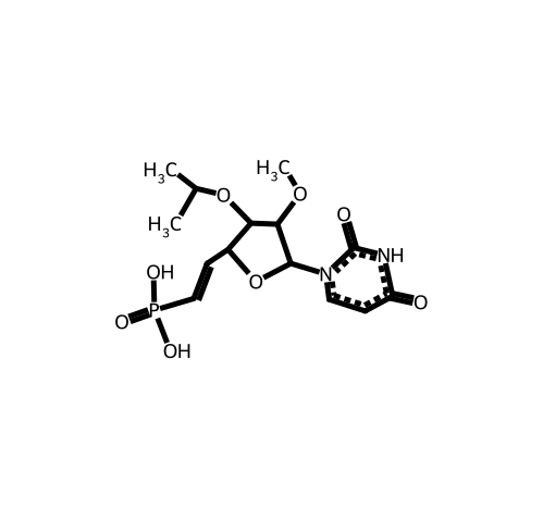 COC1C(OC(C)C)C(/C=C/P(=O)(O)O)OC1n1ccc(=O)[nH]c1=O